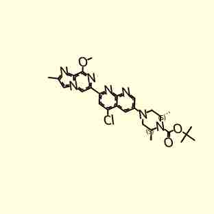 COc1nc(-c2cc(Cl)c3cc(N4C[C@H](C)N(C(=O)OC(C)(C)C)[C@@H](C)C4)cnc3n2)cn2cc(C)nc12